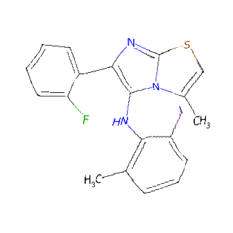 Cc1cccc(I)c1Nc1c(-c2ccccc2F)nc2scc(C)n12